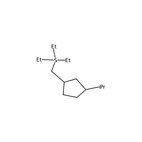 CCS(CC)(CC)CC1CCC(C(C)C)C1